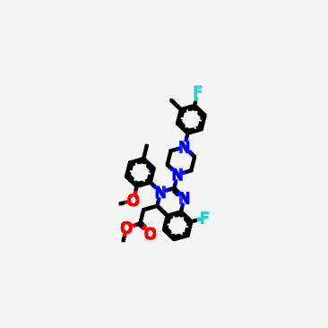 COC(=O)CC1c2cccc(F)c2N=C(N2CCN(c3ccc(F)c(C)c3)CC2)N1c1cc(C)ccc1OC